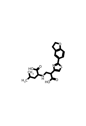 CC(C)CC(NCC(C(=O)O)c1csc(-c2ccc3c(c2)CCO3)n1)C(=O)O